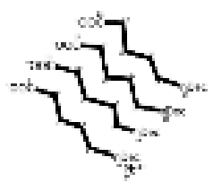 CCCCCCCCCCCCCCC(=O)[O-].CCCCCCCCCCCCCCC(=O)[O-].CCCCCCCCCCCCCCC(=O)[O-].CCCCCCCCCCCCCCC(=O)[O-].[Pb+4]